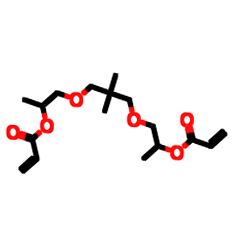 C=CC(=O)OC(C)COCC(C)(C)COCC(C)OC(=O)C=C